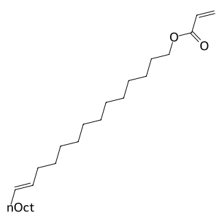 C=CC(=O)OCCCCCCCCCCCCC=CCCCCCCCC